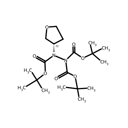 CC(C)(C)OC(=O)N(C(=O)OC(C)(C)C)N(C(=O)OC(C)(C)C)[C@H]1CCOC1